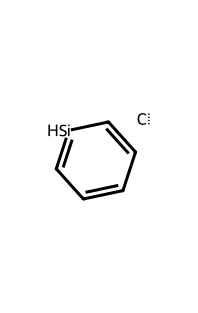 [C].c1cc[siH]cc1